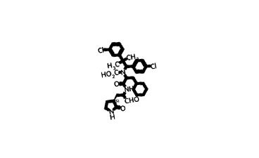 CC(C)(c1cccc(Cl)c1)C(c1ccc(Cl)cc1)N(C(=O)O)C(CC1CCCCC1)C(=O)NC(C=O)C[C@@H]1CCNC1=O